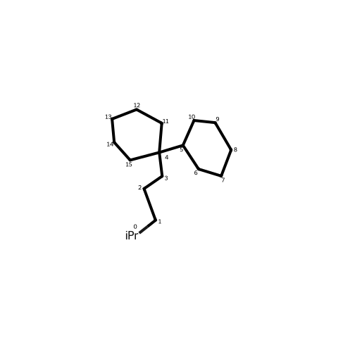 CC(C)CCCC1(C2CCCCC2)CCCCC1